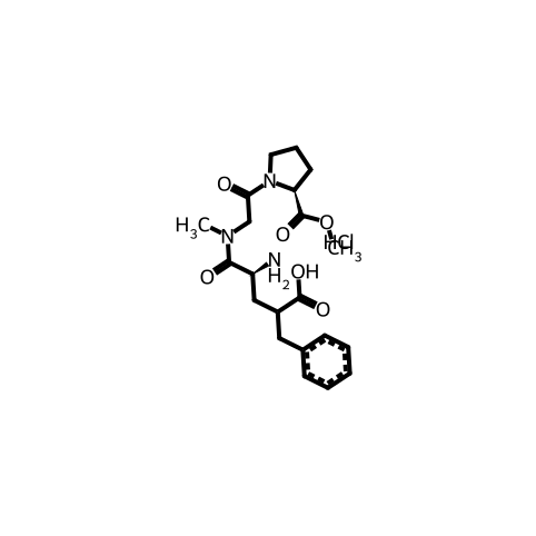 COC(=O)[C@@H]1CCCN1C(=O)CN(C)C(=O)[C@@H](N)CC(Cc1ccccc1)C(=O)O.Cl